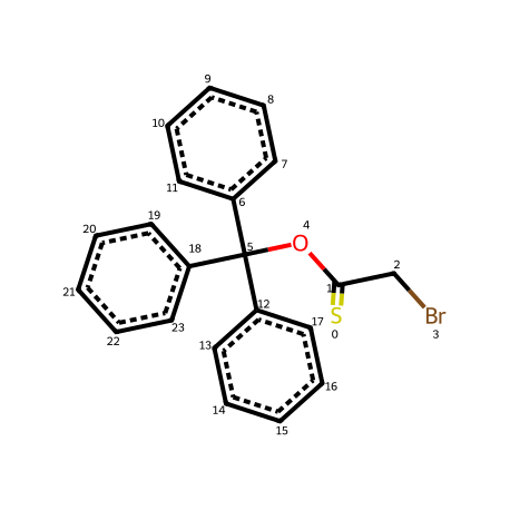 S=C(CBr)OC(c1ccccc1)(c1ccccc1)c1ccccc1